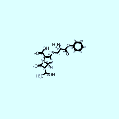 CC(O)[C@H]1C(=O)N2C(C(=O)O)=C(SC[C@@H](N)C(=O)Oc3ccccc3)S[C@H]12